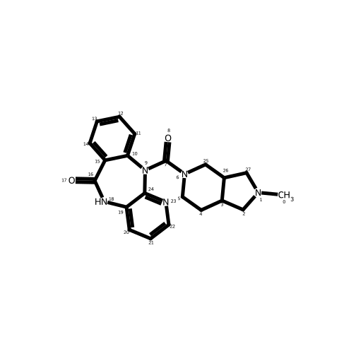 CN1CC2CCN(C(=O)N3c4ccccc4C(=O)Nc4cccnc43)CC2C1